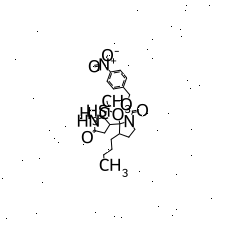 CCCCC1CCN(C(=O)OCc2ccc([N+](=O)[O-])cc2)C1(O[SiH](C)C)C1CNC(=O)C1